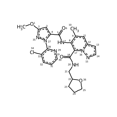 COc1cc(C(=O)Nc2c(C)cc3ccnn3c2C(=O)NCC2CCCO2)n(-c2ncccc2Cl)n1